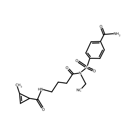 CC1=CC1C(=O)NCCCC(=O)N(CC#N)S(=O)(=O)c1ccc(C(N)=O)cc1